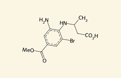 COC(=O)c1cc(N)c(NC(C)CC(=O)O)c(Br)c1